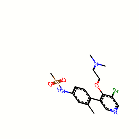 Cc1cc(NS(C)(=O)=O)ccc1-c1cncc(Br)c1OCCN(C)C